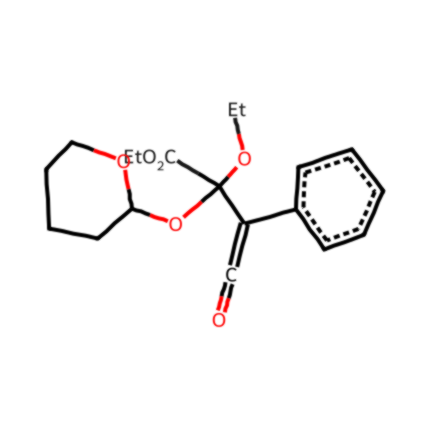 CCOC(=O)C(OCC)(OC1CCCCO1)C(=C=O)c1ccccc1